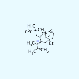 C=C(C)/C(C)=C(\CC1(CC)CCSCC1)C(=C)CC(C)(C)CCC